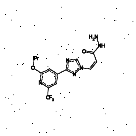 CC(C)Oc1cc(-c2ncn(/C=C\C(=O)NN)n2)cc(C(F)(F)F)n1